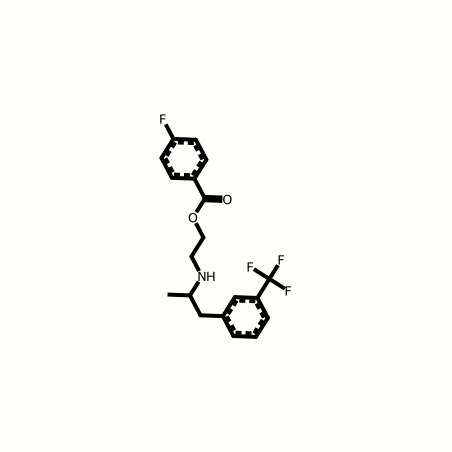 CC(Cc1cccc(C(F)(F)F)c1)NCCOC(=O)c1ccc(F)cc1